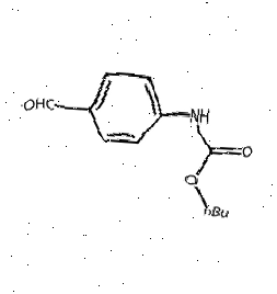 CCCCOC(=O)Nc1ccc([C]=O)cc1